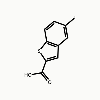 O=C(O)c1cc2cc(I)ccc2s1